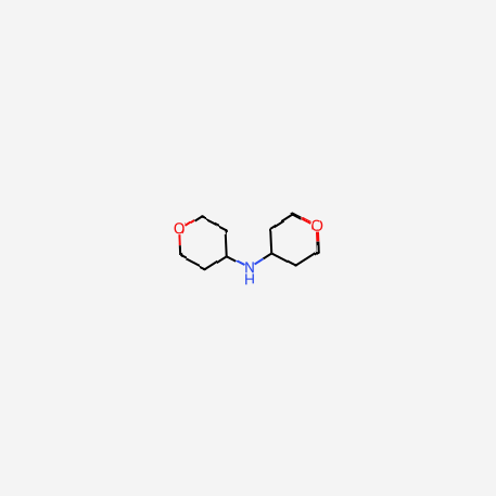 C1CC(NC2CCOCC2)CCO1